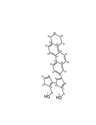 OCC1=CC=CC1.OCC1=CC=CC1.c1ccc2c(c1)ccc1c3c(ccc12)CCCC3